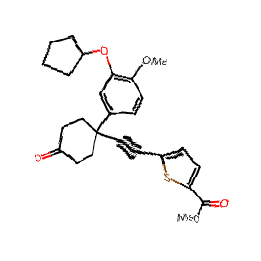 COC(=O)c1ccc(C#CC2(c3ccc(OC)c(OC4CCCC4)c3)CCC(=O)CC2)s1